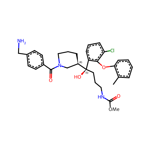 COC(=O)NCCC[C@@](O)(c1cccc(Cl)c1Oc1ccccc1C)[C@@H]1CCCN(C(=O)c2ccc(CN)cc2)C1